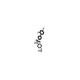 CNC[C@H]1CC[C@@H](NS(=O)(=O)c2ccc(-c3ccc(F)cc3F)cc2)CC1